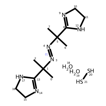 CC(C)(/N=N/C(C)(C)C1=NCCN1)C1=NCCN1.O.O.SS